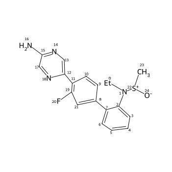 CCN(c1ccccc1-c1ccc(-c2cnc(N)cn2)c(F)c1)[S+](C)[O-]